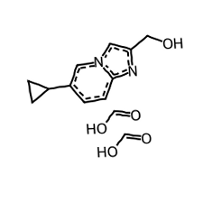 O=CO.O=CO.OCc1cn2cc(C3CC3)ccc2n1